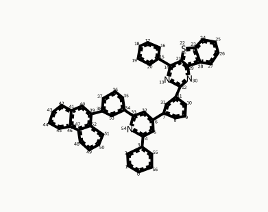 c1ccc(-c2cc(-c3cccc(-c4nc(-c5ccccc5)c5sc6ccccc6c5n4)c3)cc(-c3cccc(-c4cc5ccccc5c5ccccc45)c3)n2)cc1